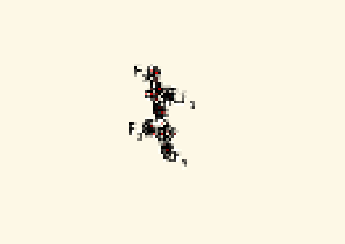 FC(F)(F)C(F)(F)C(F)(F)C(F)(F)COc1nc(OCC(F)(F)C(F)(F)C(F)(F)C(F)(F)F)nc(N(c2ccc(C(F)(F)C(F)(F)C(F)(F)C(F)(F)c3ccc(N(c4nc(OCC(F)(F)C(F)(F)C(F)(F)C(F)(F)F)nc(OCC(F)(F)C(F)(F)C(F)(F)C(F)(F)F)n4)C45CC6CC(CC(C6)C4)C5)cc3)cc2)C23CC4CC(CC(C4)C2)C3)n1